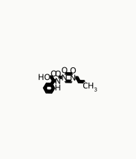 CCCCN1CCN(C(=O)NC(C(=O)O)C2=CCC=CC2)C(=O)C1=O